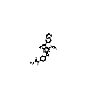 COc1nc(NC2CCC(NC(C)=O)CC2)nc2[nH]cc(-c3ccc4nccn4c3)c12